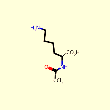 NCCCC[C@@H](NC(=O)C(Cl)(Cl)Cl)C(=O)O